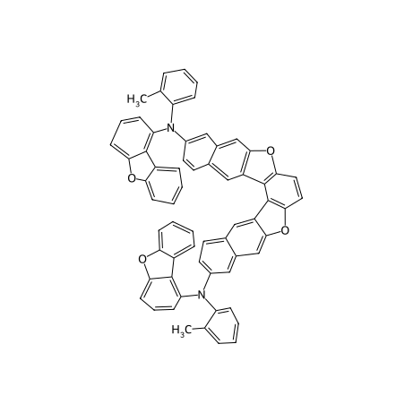 Cc1ccccc1N(c1ccc2cc3c(cc2c1)oc1ccc2oc4cc5cc(N(c6ccccc6C)c6cccc7oc8ccccc8c67)ccc5cc4c2c13)c1cccc2oc3ccccc3c12